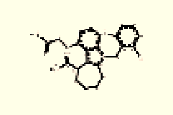 COC(=O)COc1cccc2c1c1c(n2Cc2c(F)cccc2F)CCCCC1C(N)=O